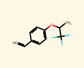 [CH]=Cc1ccc(OC(C)C(F)(F)F)cc1